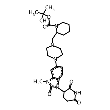 Cn1c(=O)n(C2CCC(=O)NC2=O)c2ccc(N3CCN(CC4CCCCN4C(=O)OC(C)(C)C)CC3)cc21